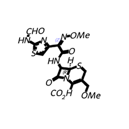 COCC1=C(C(=O)O)N2C(=O)C(NC(=O)/C(=N\OC)c3csc(NC=O)n3)[C@H]2SC1